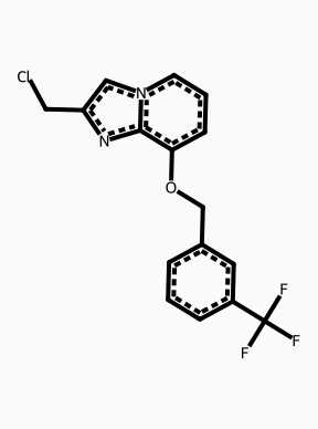 FC(F)(F)c1cccc(COc2cccn3cc(CCl)nc23)c1